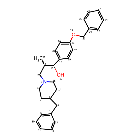 C[C@H](CN1CCC(Cc2ccccc2)CC1)[C@@H](O)c1ccc(OCc2ccccc2)cc1